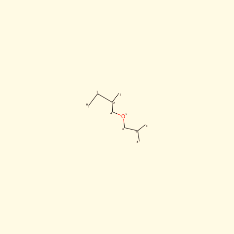 [CH2]CC(C)COCC(C)C